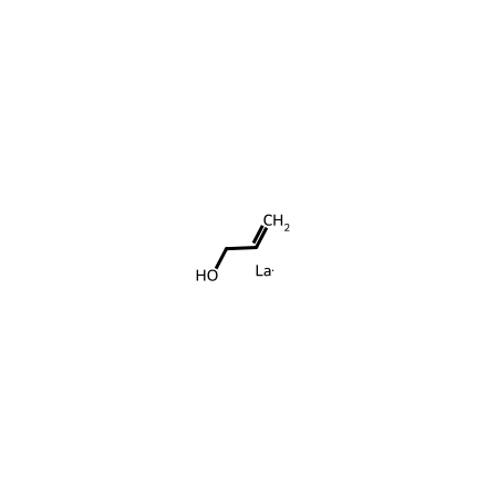 C=CCO.[La]